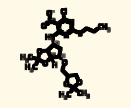 CCCSc1nc(Cl)c([N+](=O)[O-])c(N[C@@H]2C[C@H](OCC3COC(C)(C)O3)[C@H]3OC(C)(C)OC23)n1